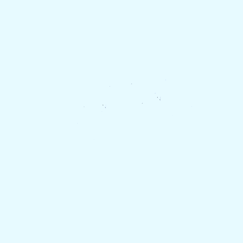 c1ccc(C[n+]2ccc(N3CCCC3)cc2)cc1